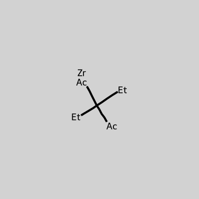 CCC(CC)(C(C)=O)C(C)=O.[Zr]